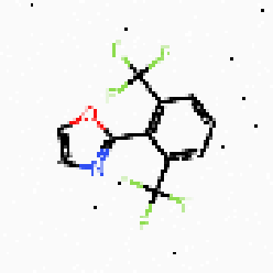 FC(F)(F)c1cccc(C(F)(F)F)c1-c1n[c]co1